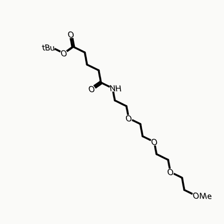 COCCOCCOCCOCCNC(=O)CCCC(=O)OC(C)(C)C